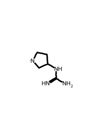 N=C(N)NC1CC[N]C1